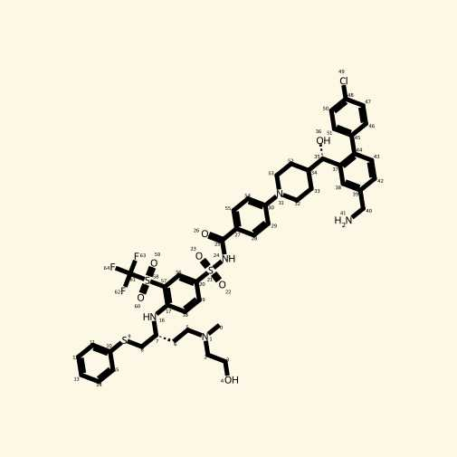 CN(CCO)CC[C@H](CSc1ccccc1)Nc1ccc(S(=O)(=O)NC(=O)c2ccc(N3CCC([C@H](O)c4cc(CN)ccc4-c4ccc(Cl)cc4)CC3)cc2)cc1S(=O)(=O)C(F)(F)F